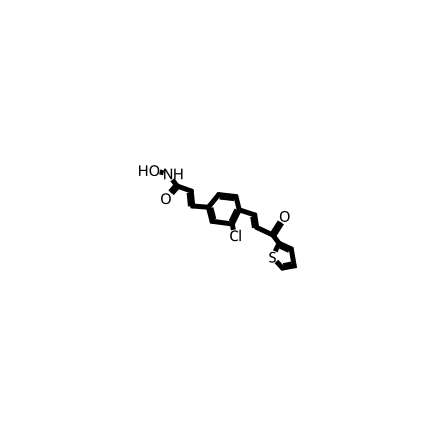 O=C(C=Cc1ccc(C=CC(=O)c2cccs2)c(Cl)c1)NO